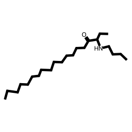 CCCCCCCCCCCCCCCC(=O)C(CC)NCCCC